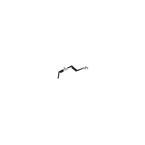 C[CH]=[Zn][CH]=CCCC